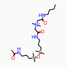 CCCCNC(=O)C[N+](C)(C)CC(=O)NCCC[Si](C)(C)O[Si](C)(C)CCCNC(C)=O